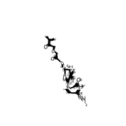 CC(C)C(=O)COCC(=O)OC[C@H]1O[C@@H](n2ccc(N)nc2=O)C(F)(F)[C@H]1O